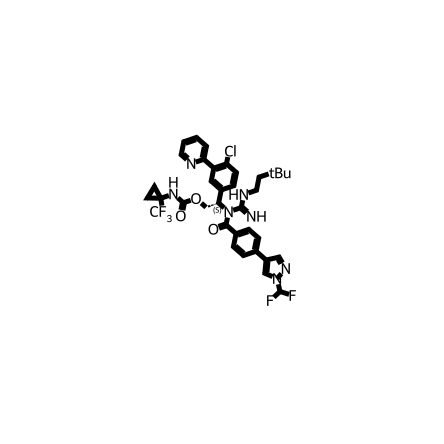 CC(C)(C)CCNC(=N)N(C(=O)c1ccc(-c2cnn(C(F)F)c2)cc1)[C@H](COC(=O)NC1(C(F)(F)F)CC1)c1ccc(Cl)c(-c2ccccn2)c1